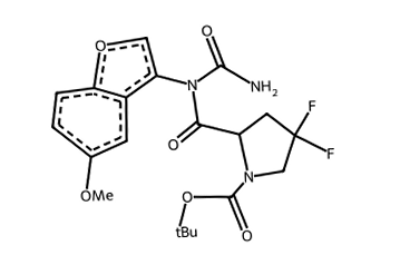 COc1ccc2occ(N(C(N)=O)C(=O)C3CC(F)(F)CN3C(=O)OC(C)(C)C)c2c1